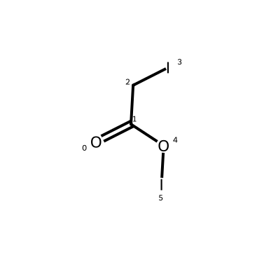 O=C(CI)OI